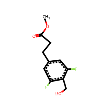 COC(=O)CCc1cc(F)c(CO)c(F)c1